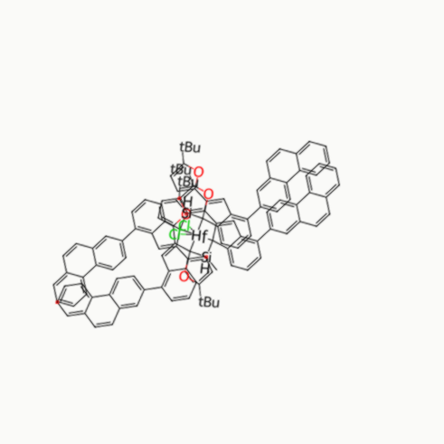 C[SiH]1[C]2(C(c3ccc(C(C)(C)C)o3)=Cc3c(-c4ccc5c(ccc6ccccc65)c4)cccc32)[Hf]2([Cl])([Cl])([C]13C(c1ccc(C(C)(C)C)o1)=Cc1c(-c4ccc5c(ccc6ccccc65)c4)cccc13)[C]1(C(c3ccc(C(C)(C)C)o3)=Cc3c(-c4ccc5c(ccc6ccccc65)c4)cccc31)[SiH](C)[C]21C(c2ccc(C(C)(C)C)o2)=Cc2c(-c3ccc4c(ccc5ccccc54)c3)cccc21